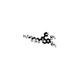 CCOC(=O)CNCC(=O)c1cc(-c2ccsc2)c2n1CCc1cc(OC)c(OC)cc1-2